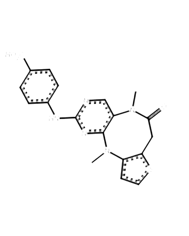 CN1C(=O)Cc2sccc2N(C)c2nc(Nc3ccc(C(=O)O)cc3)ncc21